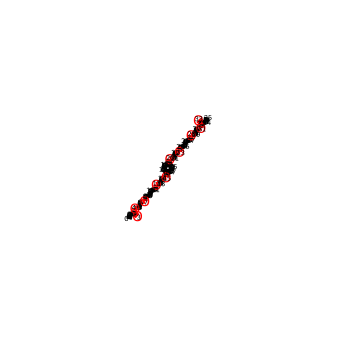 C=CC(=O)OCCOCCCCOCCOc1ccc(OCCOCCCCOCCOC(=O)C=C)cc1